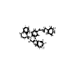 c1cnc2c(c1)CCCC2N(Cc1nc2ccccc2[nH]1)c1ccc(CNCc2ccncc2)cc1